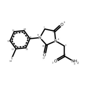 NC(=O)CN1C(=O)CN(c2cccc(I)c2)C1=O